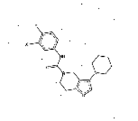 O=C(Nc1ccc(F)c(Cl)c1)N1CCn2ncc(N3CCCCC3)c2C1